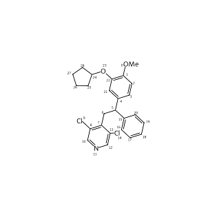 COc1ccc(C(Cc2c(Cl)cncc2Cl)c2ccccc2)cc1OC1CCCC1